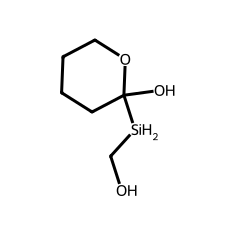 OC[SiH2]C1(O)CCCCO1